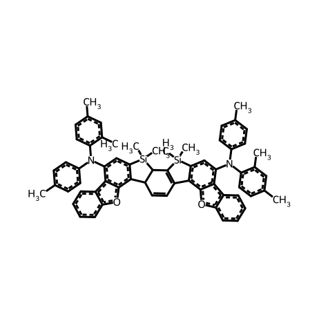 Cc1ccc(N(c2ccc(C)cc2C)c2cc3c(c4oc5ccccc5c24)C2=C(C4C(C=C2)c2c(cc(N(c5ccc(C)cc5)c5ccc(C)cc5C)c5c2oc2ccccc25)[Si]4(C)C)[Si]3(C)C)cc1